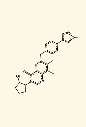 Cc1c(Cc2ccc(-c3cnn(C)c3)cc2)cc2c(=O)n(C3CCCC3O)cnc2c1C